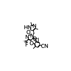 Cc1nc(C)c(Cn2cnc([C@@H](C)F)c(Oc3c(C)cc(C#N)cc3Cl)c2=O)c(=O)[nH]1